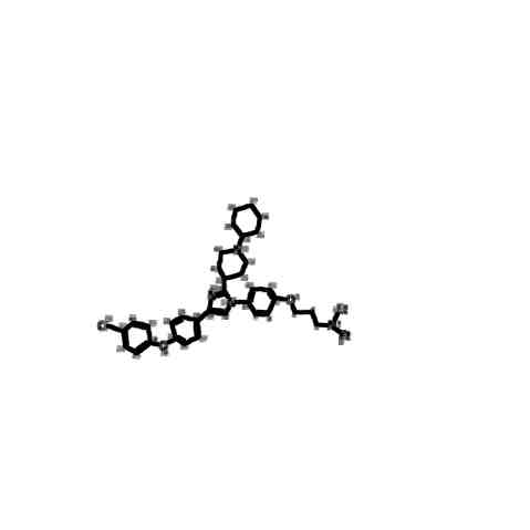 CCN(CC)CCCOc1ccc(-n2cc(-c3ccc(Oc4ccc(Cl)cc4)cc3)nc2C2CCN(C3CCCCC3)CC2)cc1